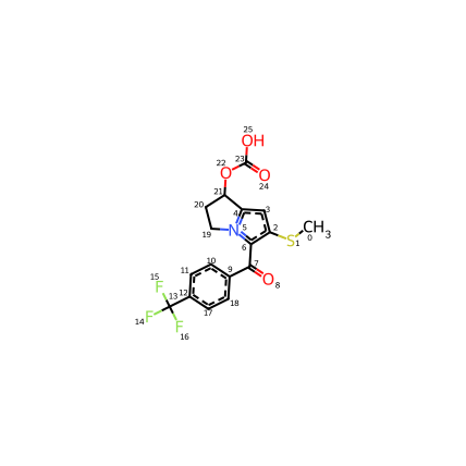 CSc1cc2n(c1C(=O)c1ccc(C(F)(F)F)cc1)CCC2OC(=O)O